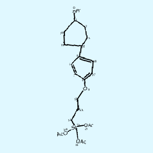 CCCC1CCC(c2ccc(OCCC[Si](OC(C)=O)(OC(C)=O)OC(C)=O)cc2)CC1